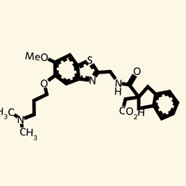 COc1cc2sc(CNC(=O)C3(CC(=O)O)Cc4ccccc4C3)nc2cc1OCCCN(C)C